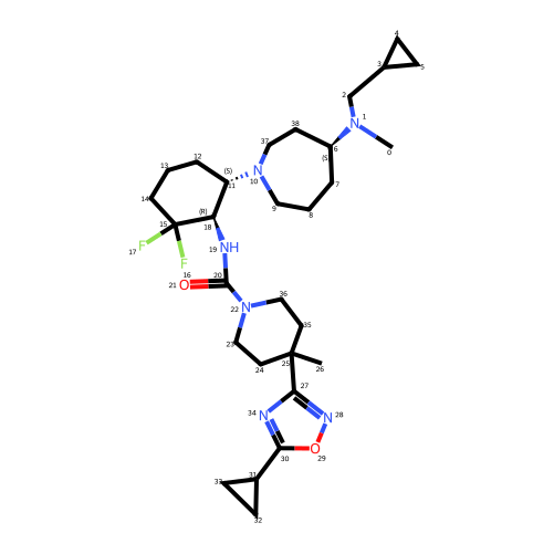 CN(CC1CC1)[C@H]1CCCN([C@H]2CCCC(F)(F)[C@@H]2NC(=O)N2CCC(C)(c3noc(C4CC4)n3)CC2)CC1